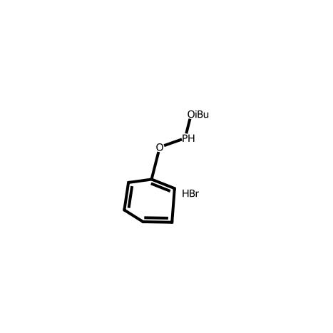 Br.CC(C)COPOc1ccccc1